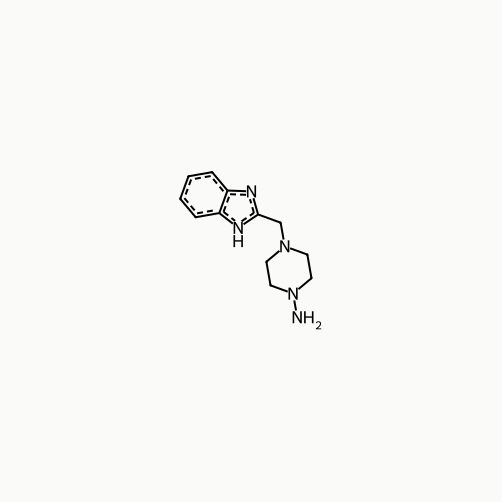 NN1CCN(Cc2nc3ccccc3[nH]2)CC1